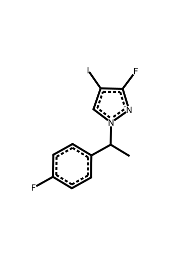 CC(c1ccc(F)cc1)n1cc(I)c(F)n1